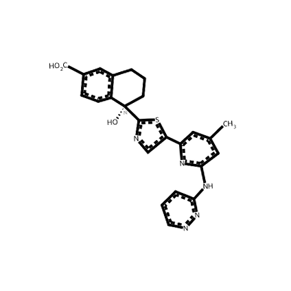 Cc1cc(Nc2cccnn2)nc(-c2cnc([C@]3(O)CCCc4cc(C(=O)O)ccc43)s2)c1